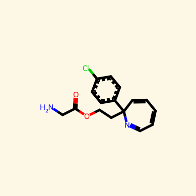 NCC(=O)OCCC1(c2ccc(Cl)cc2)C=CC=CC=N1